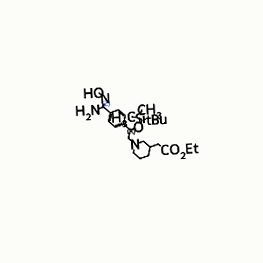 CCOC(=O)CC1CCCN(C[C@H](O[Si](C)(C)C(C)(C)C)c2ccc(/C(N)=N/O)cc2)C1